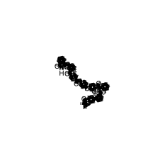 CC1(C(=O)N2CCC(c3cccc(C(=O)N[C@@H](C(=O)N4CCC(OC5CCN(CC(=O)N6CCN(C(=O)c7cc(Cc8n[nH]c(=O)c9ccccc89)ccc7F)CC6)CC5)CC4)C4CCCCC4)c3F)CC2)CC1